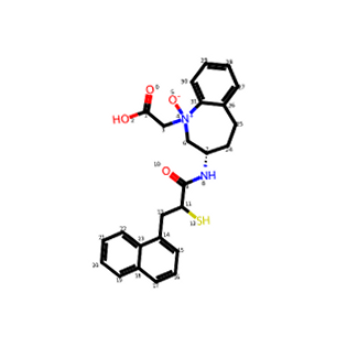 O=C(O)C[N+]1([O-])C[C@@H](NC(=O)C(S)Cc2cccc3ccccc23)CCc2ccccc21